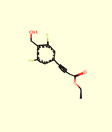 CCOC(=O)C#Cc1cc(F)c(CO)c(F)c1